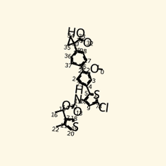 COc1cc(-c2sc(Cl)cc2NC(=O)OC(C)c2cscc2C)ccc1-c1ccc(C2(C(=O)O)CC2)cc1